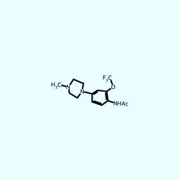 CC(=O)Nc1ccc(N2CCN(C)CC2)cc1OC(F)(F)F